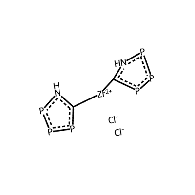 [Cl-].[Cl-].[nH]1ppp[c]1[Zr+2][c]1[nH]ppp1